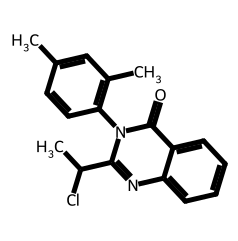 Cc1ccc(-n2c(C(C)Cl)nc3ccccc3c2=O)c(C)c1